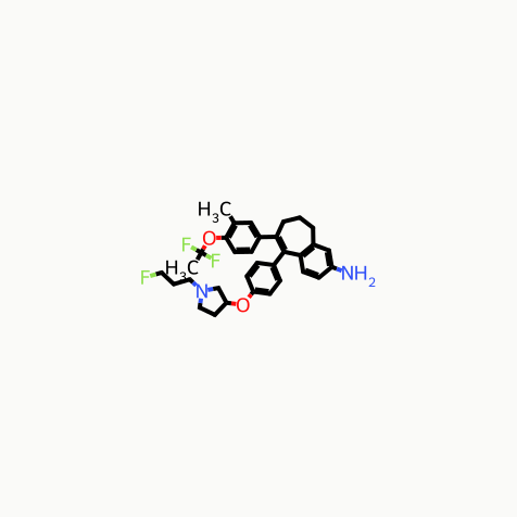 Cc1cc(C2=C(c3ccc(OC4CCN(CCCF)C4)cc3)c3ccc(N)cc3CCC2)ccc1OC(C)(F)F